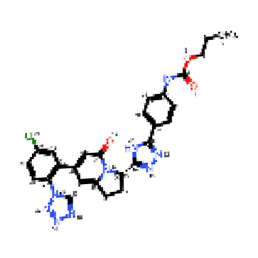 COCCOC(=O)Nc1ccc(-c2nnc([C@@H]3CCc4cc(-c5cc(Cl)ccc5-n5cnnn5)cc(=O)n43)[nH]2)cc1